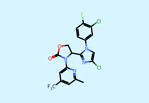 Cc1cc(C(F)(F)F)cc(N2C(=O)OCC2c2nc(Cl)cn2-c2ccc(F)c(Cl)c2)n1